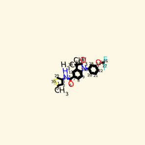 CC1CC(NC(=O)c2ccc3c(c2)C(C)(C)C(=O)N3c2cccc(OC(F)F)c2)CS1